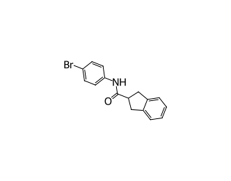 O=C(Nc1ccc(Br)cc1)C1Cc2ccccc2C1